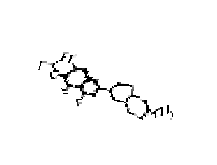 CC1CCC2CC(c3cc(F)c4c(F)c(OC(F)F)c(F)cc4c3)CCC2C1